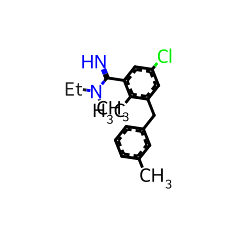 CCN(C)C(=N)c1cc(Cl)cc(Cc2cccc(C)c2)c1C